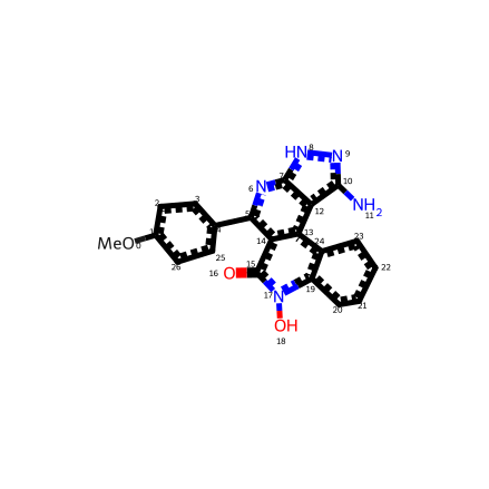 COc1ccc(-c2nc3[nH]nc(N)c3c3c2c(=O)n(O)c2ccccc32)cc1